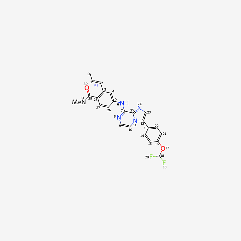 C/C=C/c1cc(Nc2nccn3c(-c4ccc(OC(F)F)cc4)cnc23)ccc1C(=O)NC